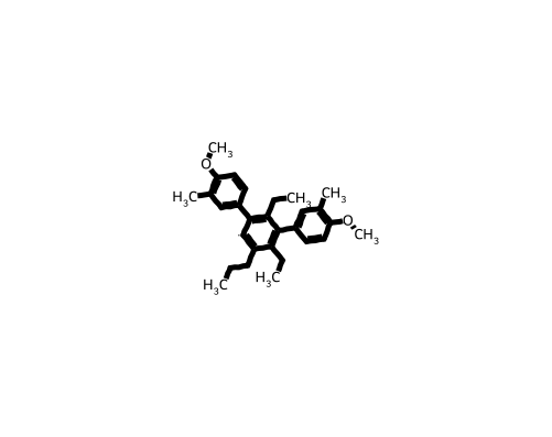 CCCc1[c]c(-c2ccc(OC)c(C)c2)c(CC)c(-c2ccc(OC)c(C)c2)c1CC